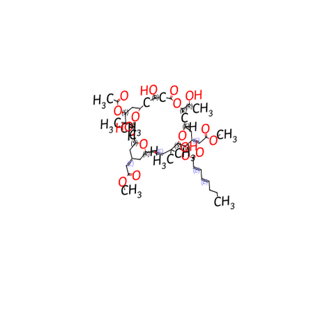 CCC/C=C/C=C/C(=O)O[C@H]1/C(=C/C(=O)OC)C[C@H]2C[C@H]([C@@H](C)O)OC(=O)C[C@H](O)CC3C[C@H](OC(C)=O)C(C)(C)[C@](O)(C[C@@H]4C/C(=C/C(=O)OC)C[C@H](/C=C/C(C)(C)[C@]1(O)O2)O4)O3